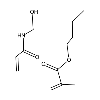 C=C(C)C(=O)OCCCC.C=CC(=O)NCO